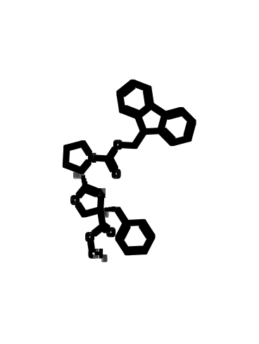 COC(=O)[C@@]1(Cc2ccccc2)COC([C@@H]2CCCN2C(=O)OCC2c3ccccc3-c3ccccc32)=N1